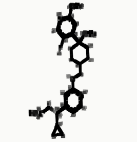 COc1cc(C2(OC)CCC(COc3cc([C@@H](CC(=O)O)C4CC4)ccn3)CC2)c(F)cn1